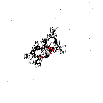 CC(C)C[C@@H](N)C(=O)NC1C(=O)N[C@@H](CC(N)=O)C(=O)N[C@H]2C(=O)NC3C(=O)N[C@H](C(=O)N[C@@H](C(=O)O)c4cc(O)cc(O)c4-c4cc3ccc4O)[C@H](OC3CC(C)(N)C(O)C(C)O3)c3ccc(c(Cl)c3)Oc3cc2cc(c3OC2OC(CO)C(O)C(O)C2OC2CC(C)(N)C(O)C(C)O2)Oc2ccc(cc2Cl)[C@H]1O